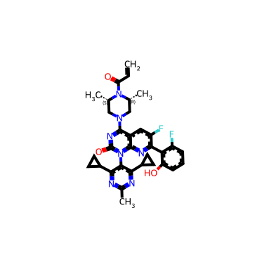 C=CC(=O)N1[C@H](C)CN(c2nc(=O)n(-c3c(C4CC4)nc(C)nc3C3CC3)c3nc(-c4c(O)cccc4F)c(F)cc23)C[C@@H]1C